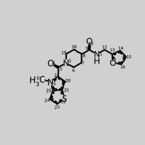 Cn1c(C(=O)N2CCC(C(=O)NCc3ccco3)CC2)cc2sccc21